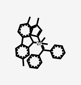 CC1=CC[C]([Zr]([CH3])([CH3])(=[C](c2ccccc2)c2ccccc2)[CH]2c3cc(C)ccc3-c3ccc(C)cc32)=C1